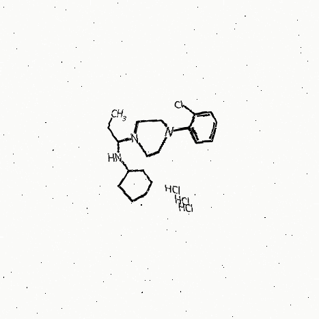 CCC(NC1CCCCC1)N1CCN(c2ccccc2Cl)CC1.Cl.Cl.Cl